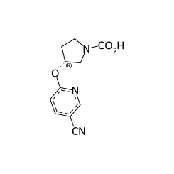 N#Cc1ccc(O[C@@H]2CCN(C(=O)O)C2)nc1